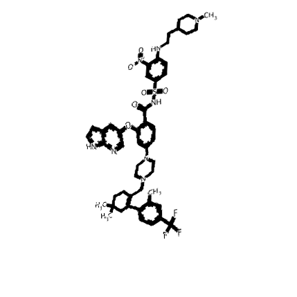 Cc1cc(C(F)(F)F)ccc1C1=C(CN2CCN(c3ccc(C(=O)NS(=O)(=O)c4ccc(NCCC5CCN(C)CC5)c([N+](=O)[O-])c4)c(Oc4cnc5[nH]ccc5c4)c3)CC2)CCC(C)(C)C1